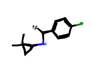 CC1(C)CC1NC(c1ccc(Br)cc1)C(F)(F)F